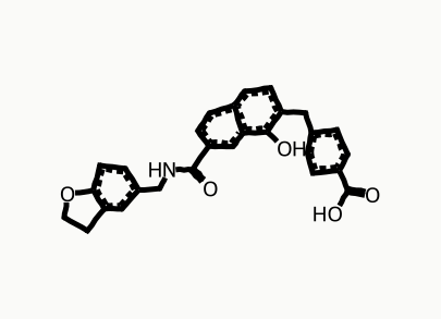 O=C(O)c1ccc(Cc2ccc3ccc(C(=O)NCc4ccc5c(c4)CCO5)cc3c2O)cc1